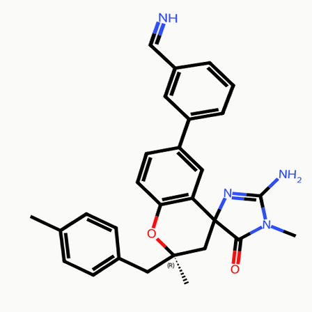 Cc1ccc(C[C@]2(C)CC3(N=C(N)N(C)C3=O)c3cc(-c4cccc(C=N)c4)ccc3O2)cc1